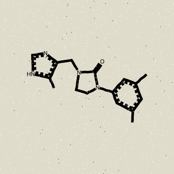 Cc1cc(C)cc(N2CCN(Cc3nc[nH]c3C)C2=O)c1